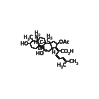 CC(=O)OC1CC2(C)[C@@H](C[C@@H](O)[C@@H]3C2(C)CC[C@@]2(N)C(C)[C@H](O)CCC32C)/C1=C(\C=C/C=C(C)C)C(=O)O